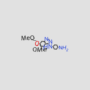 COCCOc1cc(OC)c2c(Nc3ccc(N)cc3)ncnc2c1